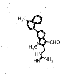 Cc1ccc(-c2ccc3c(C=O)c(CNC(=N)N)n(C)c3c2)c2ccccc12